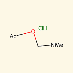 CNCOC(C)=O.Cl